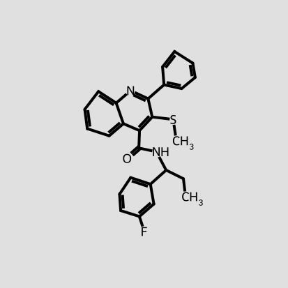 CCC(NC(=O)c1c(SC)c(-c2ccccc2)nc2ccccc12)c1cccc(F)c1